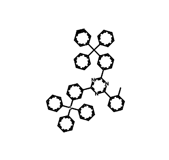 Cc1ccccc1-c1nc(-c2cccc(C(c3cc#ccc3)(c3ccccc3)c3ccccc3)c2)nc(-c2cccc(S(c3ccccc3)(c3ccccc3)c3ccccc3)c2)n1